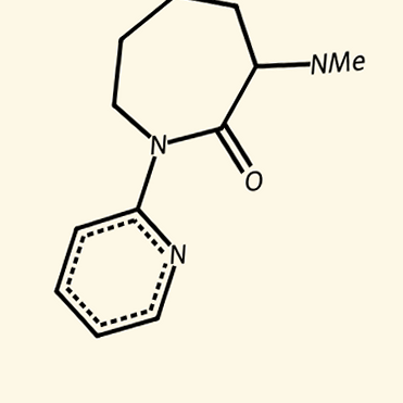 CNC1CCCCN(c2ccccn2)C1=O